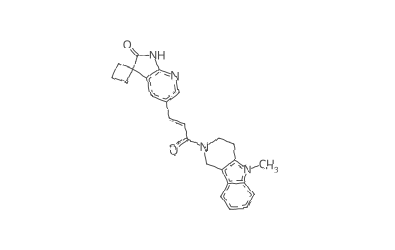 Cn1c2c(c3ccccc31)CN(C(=O)C=Cc1cnc3c(c1)C1(CCC1)C(=O)N3)CC2